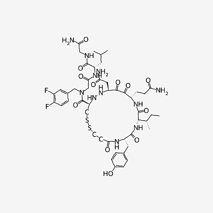 CC[C@H](C)[C@@H]1NC(=O)[C@H](Cc2ccc(O)cc2)NC(=O)CCSSC[C@@H](C(=O)N(CC(=O)N[C@@H](CC(C)C)C(=O)NCC(N)=O)Cc2ccc(F)c(F)c2)NN[C@@H](CC(N)=O)C(=O)C(=O)[C@H](CCC(N)=O)NC1=O